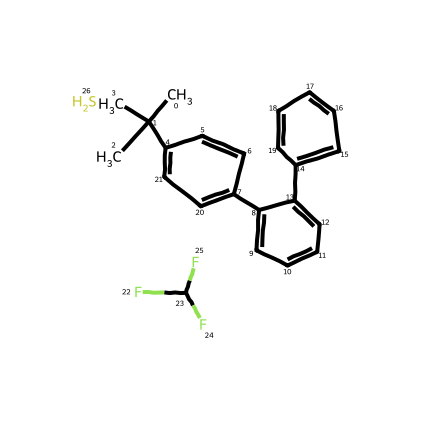 CC(C)(C)c1ccc(-c2ccccc2-c2ccccc2)cc1.FC(F)F.S